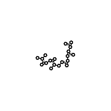 c1ccc(-c2cc(-c3ccccc3)cc(-n3c4ccccc4c4ccc(-c5ccc6c7ccccc7n(-c7cc(-c8ccccc8)cc(-c8cccc(-c9cccc(-n%10c%11ccccc%11c%11ccc(-c%12ccc%13c%14ccc(-c%15ccc%16c%17ccccc%17n(-c%17ccccc%17)c%16c%15)cc%14n(-c%14ccccc%14)c%13c%12)cc%11%10)c9)c8)c7)c6c5)cc43)c2)cc1